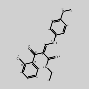 CCOC(=O)C(=CNc1ccc(SC)cc1)C(=O)c1ccccc1Cl